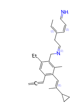 C=C=Cc1cc(CC)c(C/N=C\CC(/C=C\C=N)=C/C)c(C)c1/C=C(\C)C1CC1